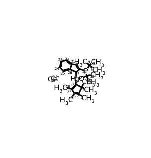 CC1=C(C)C(C)(C)[C]([Ti+2][CH]2C(P(C(C)(C)C)C(C)(C)C)=Cc3ccccc32)=C1C.[Cl-].[Cl-]